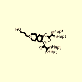 CCCCCCCC(CCCCCCC)C(=O)O[C@@H]1CC2(CCN(CCCO)CC2)C[C@H]1OC(=O)C(CCCCCCC)CCCCCCC